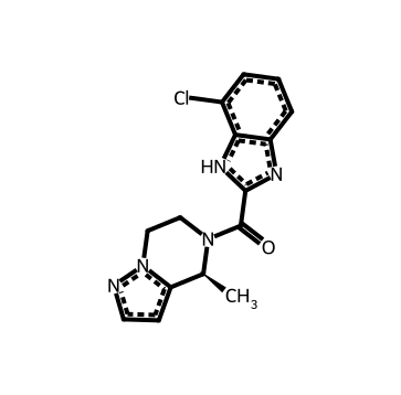 C[C@H]1c2ccnn2CCN1C(=O)c1nc2cccc(Cl)c2[nH]1